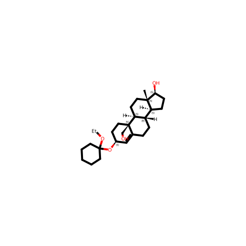 CCOC1(O[C@@H]2C=C3CC[C@@H]4[C@H](CC[C@]5(C)[C@@H](O)CC[C@@H]45)[C@@]3(CO)CC2)CCCCC1